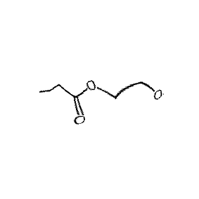 CCC(=O)OCC[O]